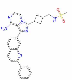 CS(=O)(=O)NCC1CC(c2nc(-c3ccc4ccc(-c5ccccc5)nc4c3)c3c(N)nccn23)C1